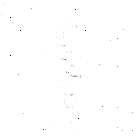 CSc1nnc(NC(=O)c2nc(S(=O)(=O)Cc3ccc(F)cc3)ncc2Cl)s1